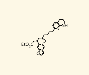 CCOC(=O)C[C@H](CC(=O)CCCCc1ccc2c(n1)NCCC2)c1ccc2ccoc2c1